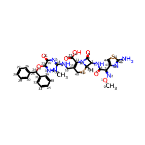 CO/N=C(\C(=O)NC1C(=O)N2C(C(=O)O)=C(CNc3nc(=O)c(OC(c4ccccc4)c4ccccc4)nn3C)CS[C@@H]12)c1csc(N)n1